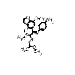 C=C(C/N=C(SC)/C(=N/C1=CCC(N)C=C1)c1cc(OC)c2c(c1F)CCO2)OC